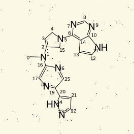 CN(C1=CCN(c2ncnc3[nH]ccc23)C1)c1cnc(-c2ccn[nH]2)cn1